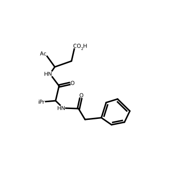 CC(=O)C(CC(=O)O)NC(=O)C(NC(=O)Cc1ccccc1)C(C)C